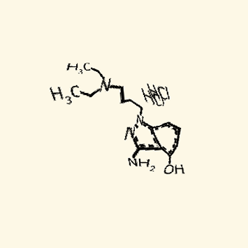 CCN(CC)CCCn1nc(N)c2c(O)cccc21.Cl.Cl